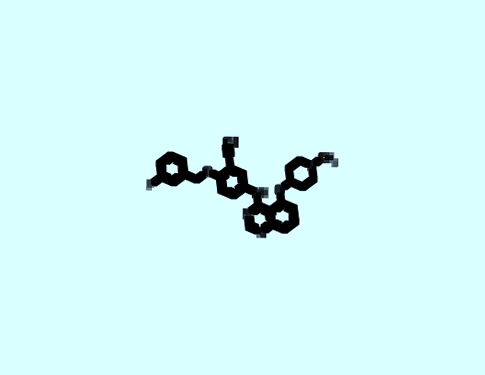 C#Cc1cc(Nc2ncnc3cccc(OC4CCN(C)CC4)c23)ccc1OCc1cccc(F)c1